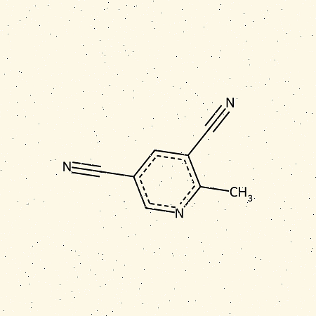 Cc1ncc(C#N)cc1C#N